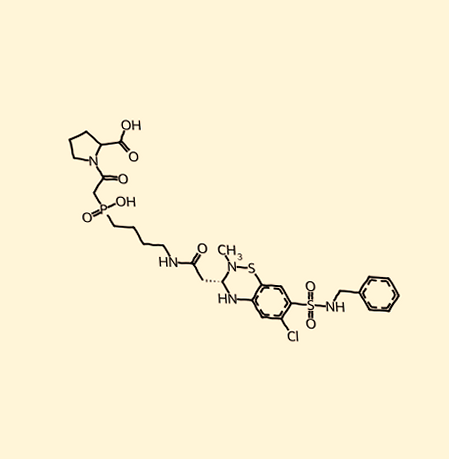 CN1Sc2cc(S(=O)(=O)NCc3ccccc3)c(Cl)cc2N[C@@H]1CC(=O)NCCCCP(=O)(O)CC(=O)N1CCCC1C(=O)O